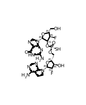 Nc1nc2c(ncn2[C@@H]2O[C@H](CO)[C@@H](F)[C@H]2O[P@](=O)(S)OC[C@H]2O[C@@H](n3ccc4c(N)ncnc43)[C@@H](F)[C@@H]2O)c(=O)[nH]1